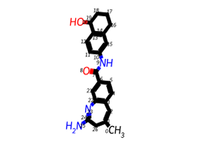 CC1=Cc2ccc(C(=O)Nc3ccc4c(c3)CCCC4O)cc2N=C(N)C1